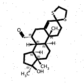 C[C@]12CCC3(C=C1C[C@@H](C=O)[C@@H]1[C@@H]2CC[C@@]2(C)[C@H]1CC[C@]2(C)O)SCCS3